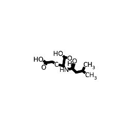 CC(C)CC(=O)NC(CCC(=O)O)C(O)O